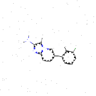 CC(=O)c1c(N(C(C)=O)C(C)=O)nc2ccc(-c3cccc(F)c3C)cn12